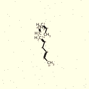 C=C.C=CC.C=CCC=CC